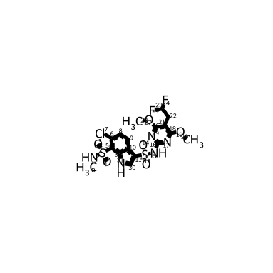 CNS(=O)(=O)c1c(Cl)ccc2c(S(=O)(=O)Nc3nc(OC)c(CC(F)F)c(OC)n3)c[nH]c12